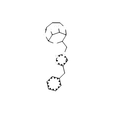 CC(=O)OC1C2OCCCOC(C(Cn3cc(Cc4ccccc4)nn3)O2)C1OC(C)=O